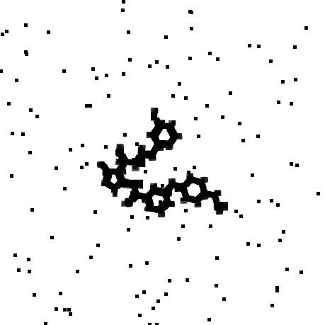 Cc1csc(NC(=O)c2cccc(CN3CCC(CO)CC3)c2)c1C(=O)NN=Cc1cccc(F)c1